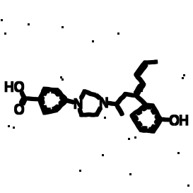 C/C=C\C=C(/CC(C)N1CCN(c2ccc(C(=O)O)cc2)CC1)c1cccc(O)c1